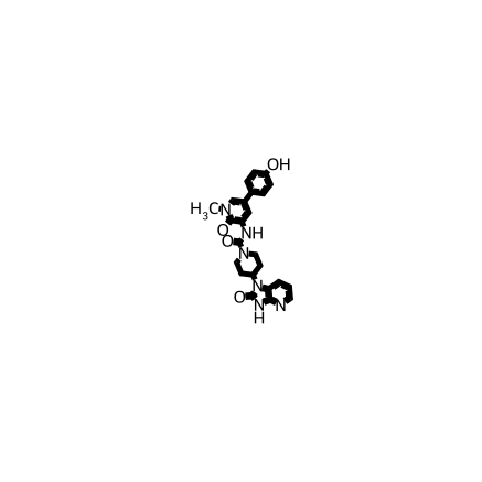 Cn1cc(-c2ccc(O)cc2)cc(NC(=O)N2CCC(n3c(=O)[nH]c4ncccc43)CC2)c1=O